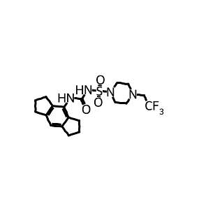 O=C(Nc1c2c(cc3c1CCC3)CCC2)NS(=O)(=O)N1CCN(CC(F)(F)F)CC1